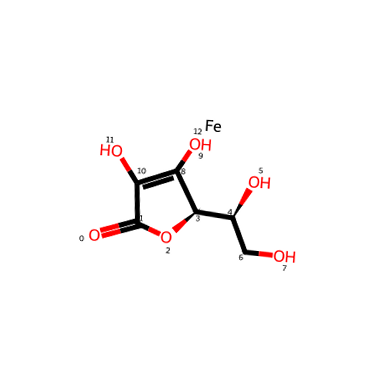 O=C1O[C@H]([C@@H](O)CO)C(O)=C1O.[Fe]